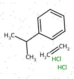 C=C.CC(C)c1ccccc1.Cl.Cl